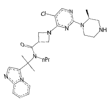 CCCN(C(=O)C1CN(c2nc(N3CCNC[C@@H]3C)ncc2Cl)C1)C(C)(C)c1cnc2ccccn12